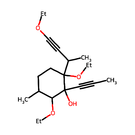 CC#CC1(O)C(OCC)C(C)CCC1(OCC)C(C)C#COCC